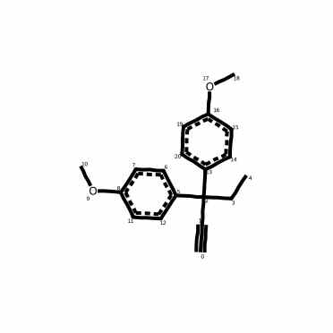 C#CC(CC)(c1ccc(OC)cc1)c1ccc(OC)cc1